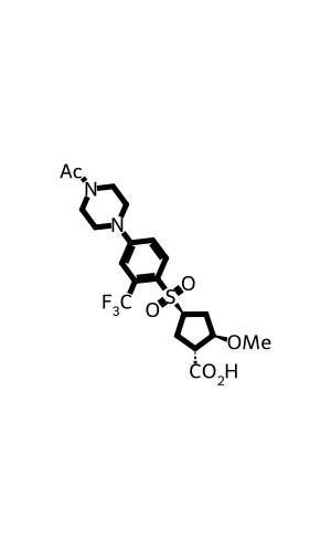 CO[C@@H]1C[C@H](S(=O)(=O)c2ccc(N3CCN(C(C)=O)CC3)cc2C(F)(F)F)C[C@H]1C(=O)O